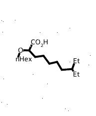 CCCCCCOC(CCCCCC(CC)CC)C(=O)O